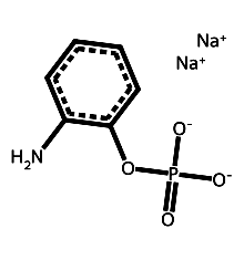 Nc1ccccc1OP(=O)([O-])[O-].[Na+].[Na+]